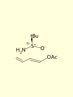 C=CC=COC(C)=O.CC(C)(C)[S@+](N)[O-]